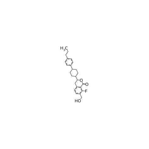 CCCc1ccc(C2CCC(C3Cc4ccc(CO)c(F)c4C(=O)O3)CC2)cc1